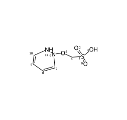 O=S(=O)(O)CON1C=CC=CN1